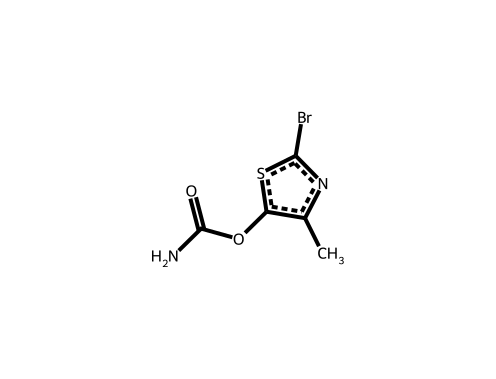 Cc1nc(Br)sc1OC(N)=O